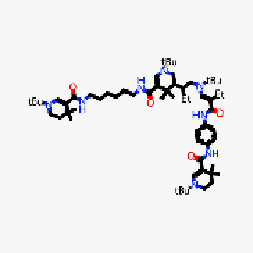 CC/C(=C\N(CC(CC)C1CN(C(C)(C)C)C=C(C(=O)NCCCCCCNC(=O)C2=CN(C(C)(C)C)CCC2(C)C)C1(C)C)C(C)(C)C)C(=O)Nc1ccc(NC(=O)C2=CN(C(C)(C)C)CCC2(C)C)cc1